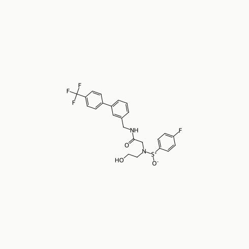 O=C(CN(CCO)[S+]([O-])c1ccc(F)cc1)NCc1cccc(-c2ccc(C(F)(F)F)cc2)c1